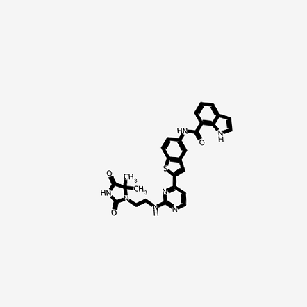 CC1(C)C(=O)NC(=O)N1CCNc1nccc(-c2cc3cc(NC(=O)c4cccc5cc[nH]c45)ccc3s2)n1